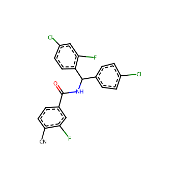 N#Cc1ccc(C(=O)NC(c2ccc(Cl)cc2)c2ccc(Cl)cc2F)cc1F